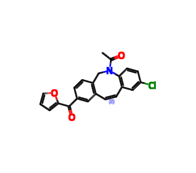 CC(=O)N1Cc2ccc(C(=O)c3ccco3)cc2/C=C\c2cc(Cl)ccc21